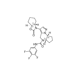 O=C(Nc1cc(F)c(F)c(F)c1)N1Cc2c(N3C(=O)O[C@H]4CCCC[C@@H]43)cnn2[C@@H]2CCC[C@@H]21